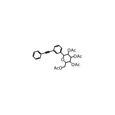 CC(=O)OCC1OC(c2cccc(C#Cc3ccccc3)c2)C(OC(C)=O)C(OC(C)=O)C1OC(C)=O